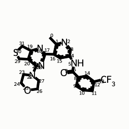 Cc1ncc(NC(=O)c2cccc(C(F)(F)F)c2)cc1-c1nc2c(c(N3CCOCC3)n1)CSC2